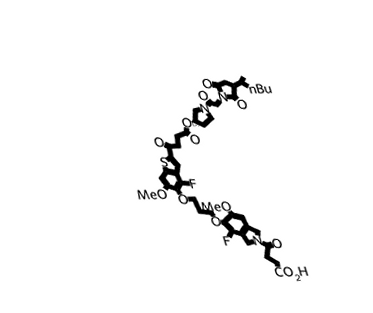 CCCCC(C)C1CC(=O)N(CC(=O)N2CC[C@H](OC(=O)CCC(=O)c3cc4c(F)c(OCCCOc5c(OC)cc6c(c5F)CN(C(=O)CCC(=O)O)C6)c(OC)cc4s3)C2)C1=O